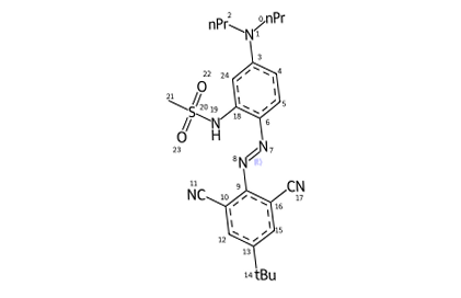 CCCN(CCC)c1ccc(/N=N/c2c(C#N)cc(C(C)(C)C)cc2C#N)c(NS(C)(=O)=O)c1